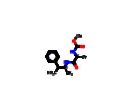 CC(C)[C@H](NC(=O)OC(C)(C)C)C(=O)N[C@H](C)C(C(=O)O)c1ccccc1